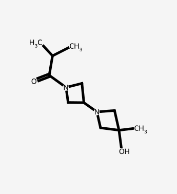 CC(C)C(=O)N1CC(N2CC(C)(O)C2)C1